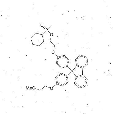 COCCOc1ccc(C2(c3ccc(OCCOP(C)(=O)C4CCCCC4)cc3)c3ccccc3-c3ccccc32)cc1